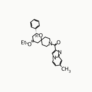 CCO[C@@H]1C[C@H](c2ccccc2)OC2(CCN(C(=O)c3cn4ccc(C)cc4n3)CC2)C1